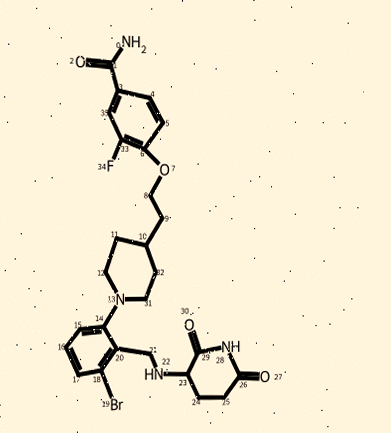 NC(=O)c1ccc(OCCC2CCN(c3cccc(Br)c3CNC3CCC(=O)NC3=O)CC2)c(F)c1